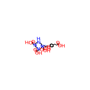 O=C(O)CCc1ccc(OCC(O)C[N+]2(CC(=O)O)CCNCCN(CC(=O)O)CCN(CC(=O)O)CC2)cc1